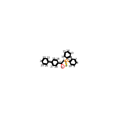 O=C(CP(=S)(c1ccccc1)c1ccccc1)c1ccc(-c2ccccc2)cc1